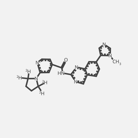 [2H]C1([2H])CCC([2H])([2H])N1c1cc(C(=O)Nc2ncc3ccc(-c4cncn4C)cc3n2)ccn1